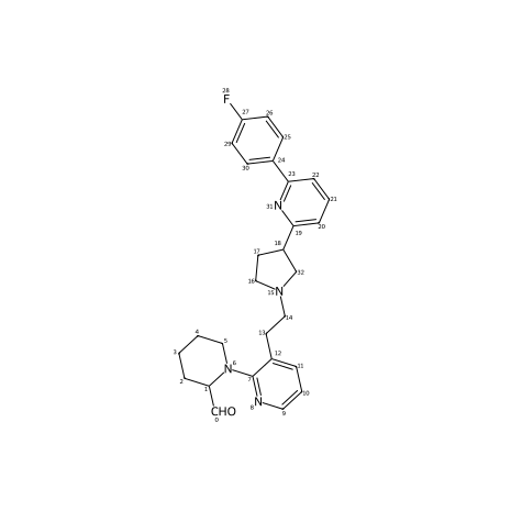 O=CC1CCCCN1c1ncccc1CCN1CCC(c2cccc(-c3ccc(F)cc3)n2)C1